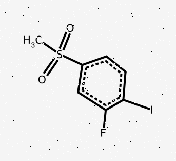 CS(=O)(=O)c1ccc(I)c(F)c1